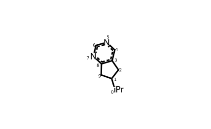 CC(C)C1Cc2cncnc2C1